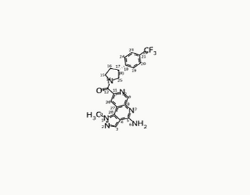 Cn1ncc2c(N)nc3cnc(C(=O)N4CC[C@H](c5ccc(C(F)(F)F)cc5)C4)cc3c21